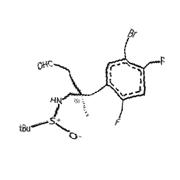 CC(C)(C)[S+]([O-])N[C@@](C)(CC=O)c1cc(Br)c(F)cc1F